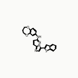 c1ccc2sc(-c3cnc4ccc(Nc5ccc6c(c5)OCCCO6)nn34)cc2c1